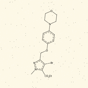 CCOC(=O)c1c(Br)c(COc2ccc(N3CCOCC3)cc2)nn1C